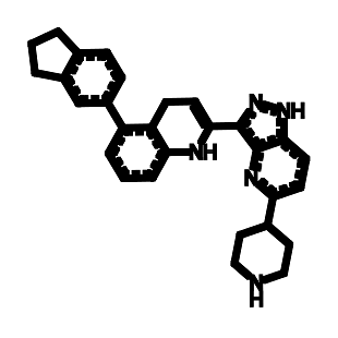 C1=C(c2n[nH]c3ccc(C4CCNCC4)nc23)Nc2cccc(-c3ccc4c(c3)CCC4)c2C1